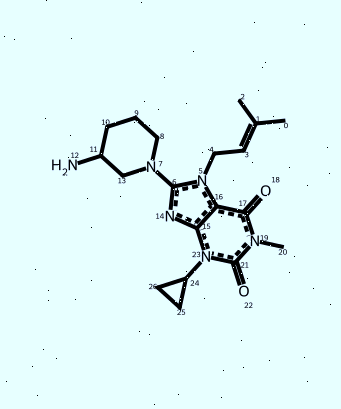 CC(C)=CCn1c(N2CCCC(N)C2)nc2c1c(=O)n(C)c(=O)n2C1CC1